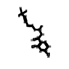 CN(CC=CC#CC(C)(C)C)CC(=O)c1ccc(Cl)cc1Cl